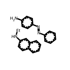 CCNc1ccc2ccccc2c1.Nc1ccc(N=Nc2ccccc2)cc1